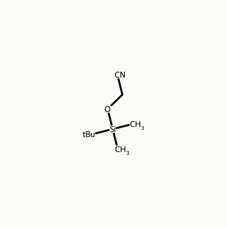 CC(C)(C)[Si](C)(C)OCC#N